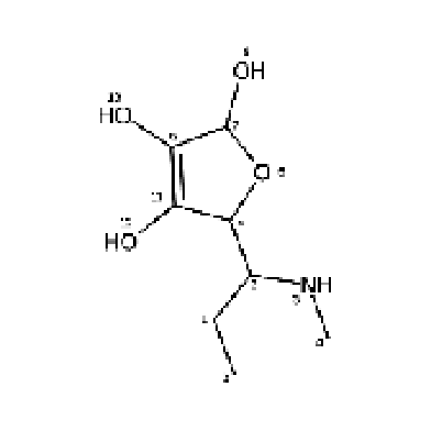 CCC(NC)C1OC(O)C(O)=C1O